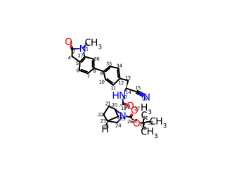 CN1C(=O)Cc2ccc(-c3ccc(C[C@@H](C#N)NC(=O)[C@]45CC[C@@H](CN4C(=O)OC(C)(C)C)C5)cc3)cc21